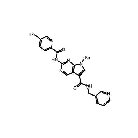 CCCc1ccc(C(=O)Nc2ncc3c(C(=O)NCc4cccnc4)cn(C(C)(C)C)c3n2)cc1